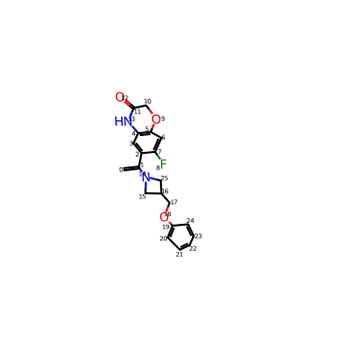 C=C(c1cc2c(cc1F)OCC(=O)N2)N1CC(COc2ccccc2)C1